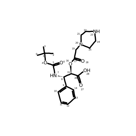 CC(C)(C)OC(=O)N[C@@H](c1ccccc1)[C@@H](OC(=O)CN1CCNCC1)C(=O)O